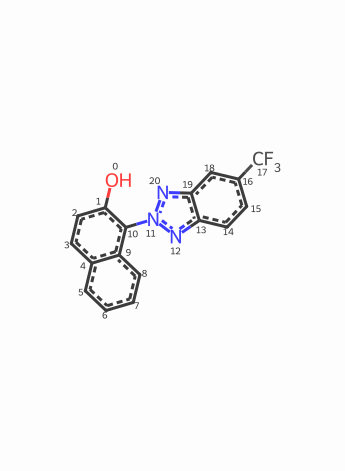 Oc1ccc2ccccc2c1-n1nc2ccc(C(F)(F)F)cc2n1